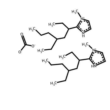 CCCC(CC)CC(CC)c1[nH]cc[n+]1C.CCCC(CC)CC(CC)c1[nH]cc[n+]1C.O=C([O-])[O-]